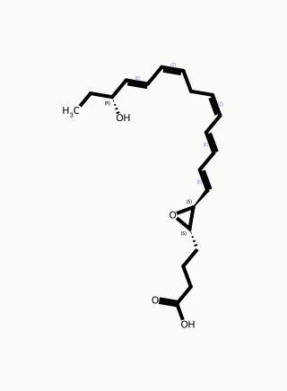 CC[C@@H](O)/C=C/C=C\C\C=C/C=C/C=C/[C@@H]1O[C@H]1CCCC(=O)O